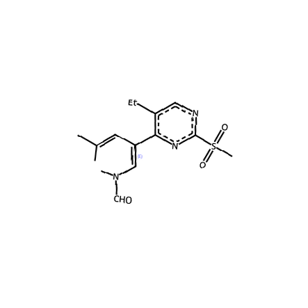 CCc1cnc(S(C)(=O)=O)nc1/C(C=C(C)C)=C/N(C)C=O